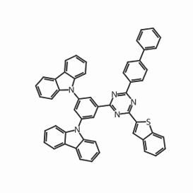 c1ccc(-c2ccc(-c3nc(-c4cc(-n5c6ccccc6c6ccccc65)cc(-n5c6ccccc6c6ccccc65)c4)nc(-c4cc5ccccc5s4)n3)cc2)cc1